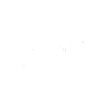 COC(=O)CCCCC/C=C\CCCCCCCCOCC(COCCCCC(=O)OC)N(C)C